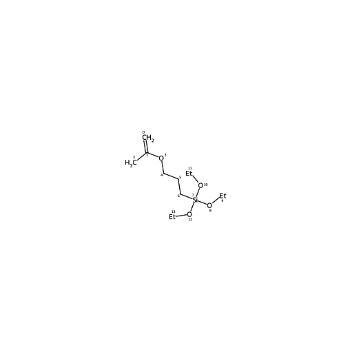 C=C(C)OCCC[Si](OCC)(OCC)OCC